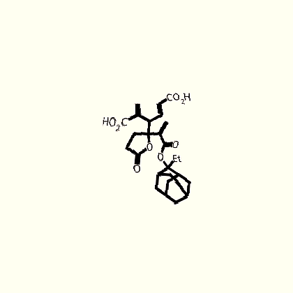 C=C(C(=O)O)C(C=CC(=O)O)C1(C(=C)C(=O)OC2(CC)C3CC4CC(C3)CC2C4)CCC(=O)O1